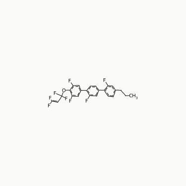 CCCc1ccc(-c2ccc(-c3cc(F)c(OC(F)(F)C=C(F)F)c(F)c3)c(F)c2)c(F)c1